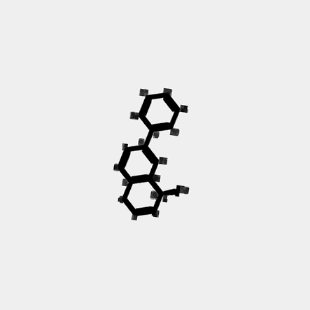 F[C@H]1[C]=CCc2ccc(-c3ccccc3)cc21